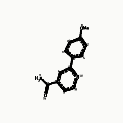 COc1ccc(-c2cc(C(N)=O)ccn2)cc1